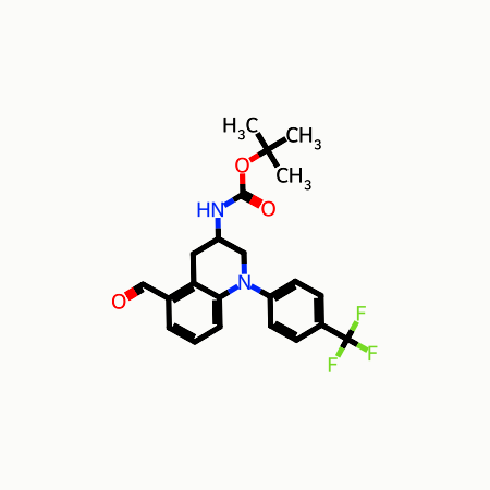 CC(C)(C)OC(=O)NC1Cc2c(C=O)cccc2N(c2ccc(C(F)(F)F)cc2)C1